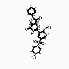 CCOc1ncc(S(=O)(=O)N2CCN(CC)CC2)cc1-c1nc2c(CC)n(-c3ccccc3)nc2c(=O)[nH]1